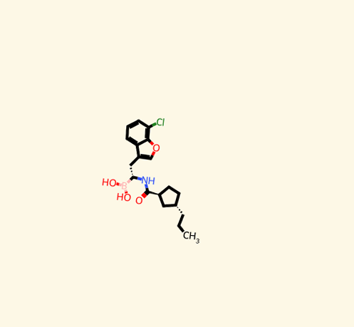 CCC[C@H]1CC[C@H](C(=O)N[C@@H](Cc2coc3c(Cl)cccc23)B(O)O)C1